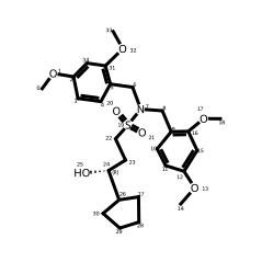 COc1ccc(CN(Cc2ccc(OC)cc2OC)S(=O)(=O)CC[C@@H](O)C2CCCC2)c(OC)c1